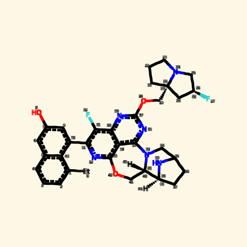 CCc1cccc2cc(O)cc(-c3nc4c5c(nc(OC[C@]67CCCN6C[C@@H](F)C7)nc5c3F)N3CC5CC[C@H](N5)[C@@H]3CO4)c12